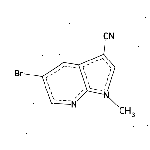 Cn1cc(C#N)c2cc(Br)cnc21